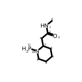 CNC(=O)CC1CCCCN1P